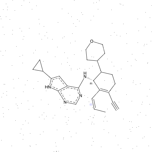 C#CC1=C(/C=C\C)[C@H](Nc2ncnc3[nH]c(C4CC4)cc23)C(C2CCOCC2)CC1